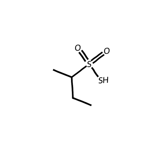 CCC(C)S(=O)(=O)S